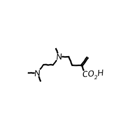 C=C(CCN(C)CCN(C)C)C(=O)O